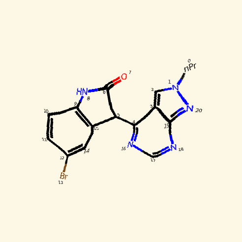 CCCn1cc2c(C3C(=O)Nc4ccc(Br)cc43)ncnc2n1